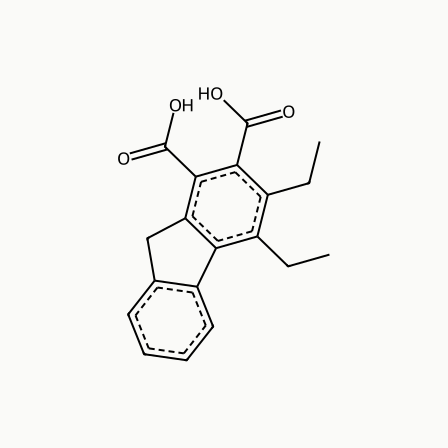 CCc1c(CC)c2c(c(C(=O)O)c1C(=O)O)Cc1ccccc1-2